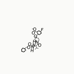 COC(=O)c1cc(F)ccc1OC1CCN(C(=O)[C@@H](NNC(=O)OCc2ccccc2)C(C)C)CC1